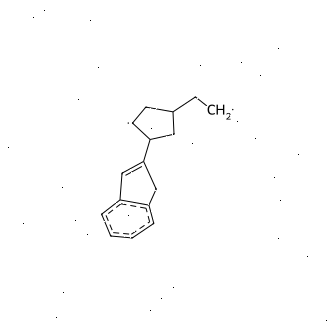 [CH2]CC1C[CH]C(C2=Cc3ccccc3C2)C1